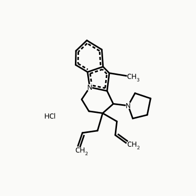 C=CCC1(CC=C)CCn2c(c(C)c3ccccc32)C1N1CCCC1.Cl